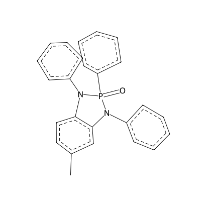 Cc1ccc2c(c1)N(c1ccccc1)P(=O)(c1ccccc1)N2c1ccccc1